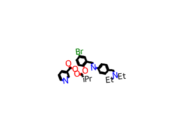 CCN(CC)Cc1ccc(N=Cc2cc(Br)cc(OC(=O)c3cccnc3)c2OC(=O)C(C)C)cc1